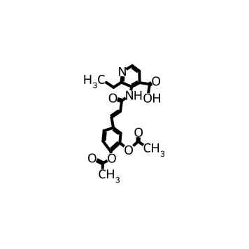 CCc1nccc(C(=O)O)c1NC(=O)C=Cc1ccc(OC(C)=O)c(OC(C)=O)c1